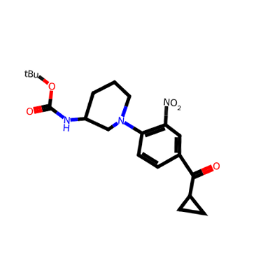 CC(C)(C)OC(=O)NC1CCCN(c2ccc(C(=O)C3CC3)cc2[N+](=O)[O-])C1